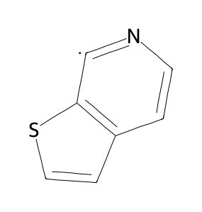 [c]1nccc2ccsc12